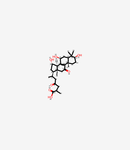 CC(CC(=O)CC(C)[C@H]1C[C@H](O)[C@H]2C3=C(C(=O)C[C@]12C)[C@@]1(C)CC[C@H](O)C(C)(C)C1C[C@@H]3O)C(=O)O